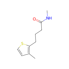 CNC(=O)CCCc1sccc1C